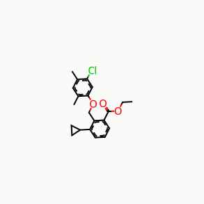 CCOC(=O)c1cccc(C2CC2)c1COc1cc(Cl)c(C)cc1C